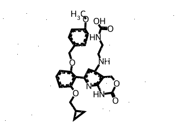 COc1ccc(COc2cccc(OCC3CC3)c2-c2cc(NCCNC(=O)O)c3c(n2)NC(=O)OC3)cc1